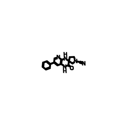 N#CN1CCC2(C1)Nc1ncc(-c3ccccc3)cc1NC2=O